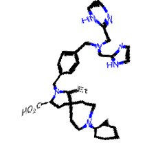 CCC1N(Cc2ccc(CN(Cc3ncc[nH]3)Cc3ncc[nH]3)cc2)[C@H](C(=O)O)CC12CCN(C1CCCCC1)CC2